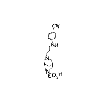 N#Cc1ccc(NCCCN2CC3CC(C2)CN(C(=O)O)C3)cc1